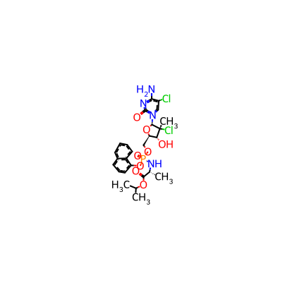 CC(C)OC(=O)[C@@H](C)N[P@@](=O)(OC[C@H]1O[C@@H](n2cc(Cl)c(N)nc2=O)[C@](C)(Cl)[C@@H]1O)Oc1cccc2ccccc12